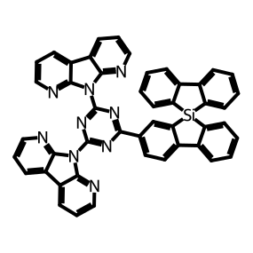 c1ccc2c(c1)-c1ccccc1[Si]21c2ccccc2-c2ccc(-c3nc(-n4c5ncccc5c5cccnc54)nc(-n4c5ncccc5c5cccnc54)n3)cc21